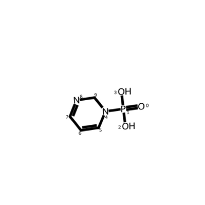 O=P(O)(O)N1C=CC=NC1